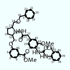 COC(=O)c1cccc(OCC2CCC(COCc3ccccc3)N2NC(=O)Cc2ccc(NC(=O)Nc3ccccc3Cl)c(OC)c2)c1